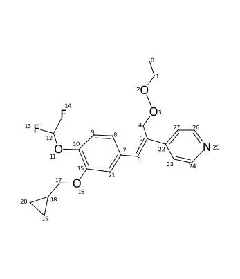 CCOOC/C(=C\c1ccc(OC(F)F)c(OCC2CC2)c1)c1ccncc1